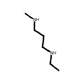 [CH2]NCCCNCC